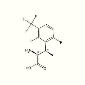 Cc1c(C(F)(F)F)ccc(F)c1[C@@H](C)[C@H](N)C(=O)O